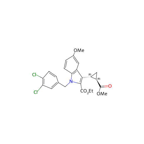 CCOC(=O)c1c([C@@H]2C[C@H]2C(=O)OC)c2cc(OC)ccc2n1Cc1ccc(Cl)c(Cl)c1